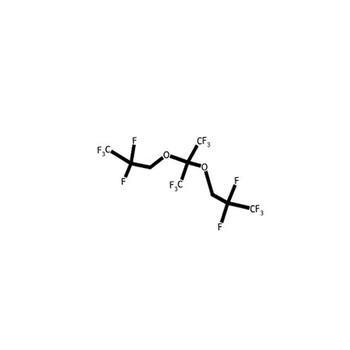 FC(F)(F)C(F)(F)COC(OCC(F)(F)C(F)(F)F)(C(F)(F)F)C(F)(F)F